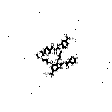 NC(=O)c1cnc2c(c1)nc(NC(=O)c1cccnc1)n2CC=CCn1c(NC(=O)c2cccnc2)nc2cc(C(N)=O)cc(OCCCN3CCOCC3)c21